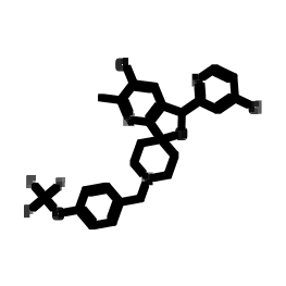 Cc1nc2c(cc1Cl)C(c1cc(Cl)ccn1)OC21CCN(Cc2ccc(OC(F)(F)F)cc2)CC1